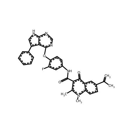 C=C(C)c1ccc2c(c1)c(=O)c(C(=O)Nc1ccc(Oc3ncnc4[nH]cc(-c5ccccc5)c34)c(F)c1)c(C)n2C